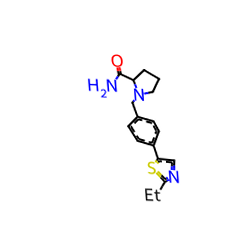 CCc1ncc(-c2ccc(CN3CCCC3C(N)=O)cc2)s1